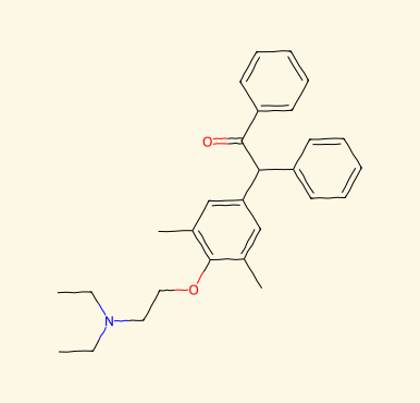 CCN(CC)CCOc1c(C)cc(C(C(=O)c2ccccc2)c2ccccc2)cc1C